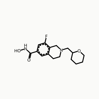 O=C(NO)c1cc(F)c2c(c1)CCN(CC1CCCCO1)C2